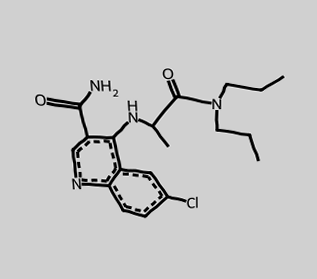 CCCN(CCC)C(=O)C(C)Nc1c(C(N)=O)cnc2ccc(Cl)cc12